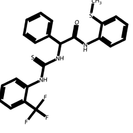 CSc1ccccc1NC(=O)C(NC(=S)Nc1ccccc1C(F)(F)F)c1ccccc1